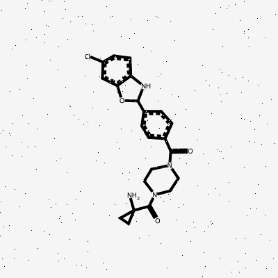 NC1(C(=O)N2CCN(C(=O)c3ccc(C4Nc5ccc(Cl)cc5O4)cc3)CC2)CC1